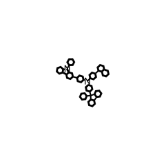 c1ccc(-n2c3ccccc3c3ccc(-c4ccc(N(c5ccc(-c6cccc7ccccc67)cc5)c5ccc(C6(c7ccccc7)c7ccccc7-c7ccccc76)cc5)cc4)cc32)cc1